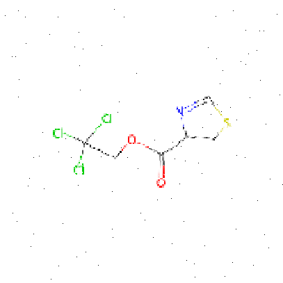 O=C(OCC(Cl)(Cl)Cl)C1CSC=N1